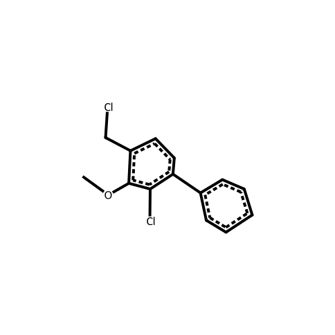 COc1c(CCl)ccc(-c2ccccc2)c1Cl